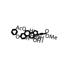 COC(=O)C#C[C@]1(O)CC[C@H]2[C@@H]3C[C@@H](OC(C)=O)c4cc(Oc5ccccc5)ccc4[C@H]3C[C@@H](O)[C@@]21C